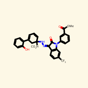 COC(=O)c1cccc(N2C(=O)C(=NNC3(C(=O)O)C=CC=C(c4ccccc4O)C3)c3ccc(C(F)(F)F)cc32)c1